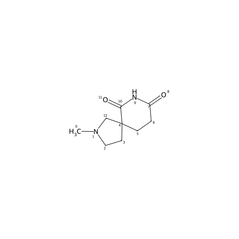 CN1CCC2(CCC(=O)NC2=O)C1